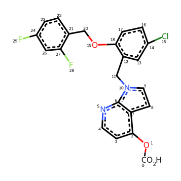 O=C(O)Oc1ccnc2c1ccn2Cc1cc(Cl)ccc1OCc1ccc(F)cc1F